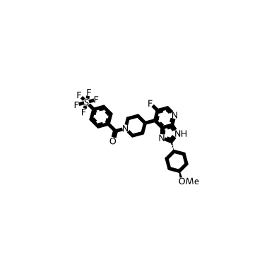 CO[C@H]1CC[C@H](c2nc3c(C4CCN(C(=O)c5ccc(S(F)(F)(F)(F)F)cc5)CC4)c(F)cnc3[nH]2)CC1